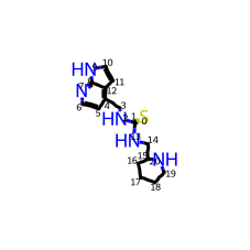 S=C(NCc1ccnc2[nH]ccc12)NCC1CCCCN1